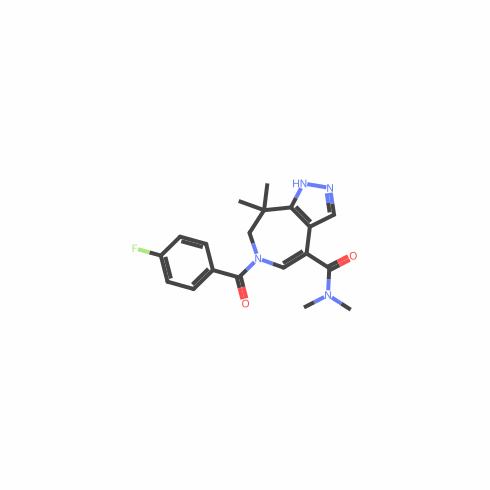 CN(C)C(=O)C1=CN(C(=O)c2ccc(F)cc2)CC(C)(C)c2[nH]ncc21